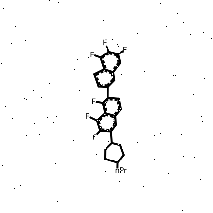 CCCC1CCC(c2cc3ccc(-c4ccc5c(F)c(F)c(F)cc5c4)c(F)c3c(F)c2F)CC1